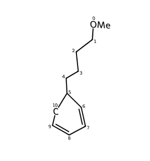 COCCCCC1C=CC=CC1